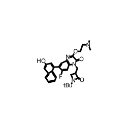 CN(C)CCOc1nc2cc(-c3cc(O)cc4ccccc34)c(F)cc2n(CC2CN(C(C)(C)C)C2=O)c1=O